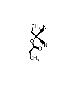 CCC(=O)OC(C#N)(C#N)CC